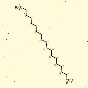 O=C(O)CCCCCCCSSSCCCCCCCC(=O)O